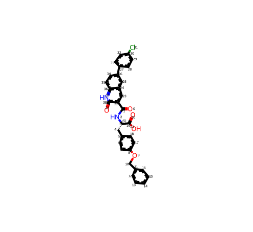 O=C(N[C@@H](Cc1ccc(OCc2ccccc2)cc1)C(=O)O)c1cc2cc(-c3ccc(Cl)cc3)ccc2[nH]c1=O